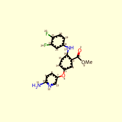 COC(=O)c1cc(Oc2ccc(N)nc2)ccc1Nc1ccc(F)c(F)c1